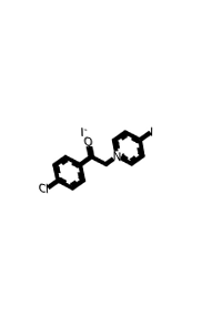 O=C(C[n+]1ccc(I)cc1)c1ccc(Cl)cc1.[I-]